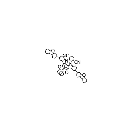 N#Cc1ccc(C#N)c(-n2c3ccc(-c4ccc5c(c4)oc4ccccc45)cc3c3c4oc5ccccc5c4ccc32)c1-n1c2ccc(-c3ccc4c(c3)oc3ccccc34)cc2c2c3oc4ccccc4c3ccc21